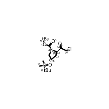 CC(C)(C)OC(=O)N1C[C@@H](O[Si](C)(C)C(C)(C)C)C[C@@H]1C(=O)CCl